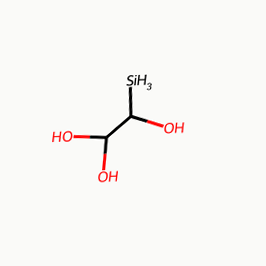 OC(O)C(O)[SiH3]